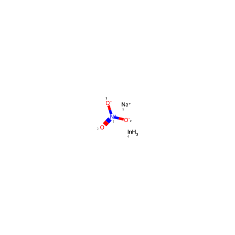 O=[N+]([O-])[O-].[InH3].[Na+]